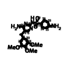 COc1cc(Cc2cnc(NS(=O)(=O)c3ccc(N)cc3)nc2N)cc(OC)c1OC